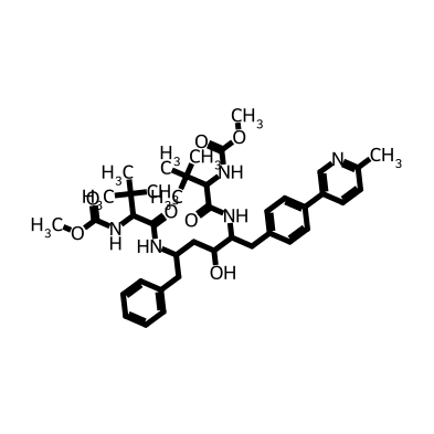 COC(=O)NC(C(=O)NC(Cc1ccccc1)CC(O)C(Cc1ccc(-c2ccc(C)nc2)cc1)NC(=O)C(NC(=O)OC)C(C)(C)C)C(C)(C)C